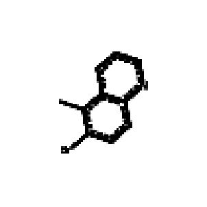 Cc1c(Br)ccc2ncccc12